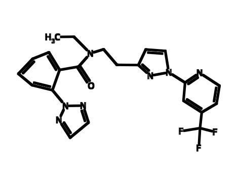 CCN(CCc1ccn(-c2cc(C(F)(F)F)ccn2)n1)C(=O)c1ccccc1-n1nccn1